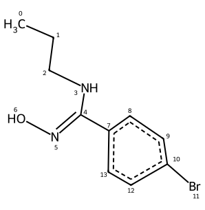 CCCNC(=NO)c1ccc(Br)cc1